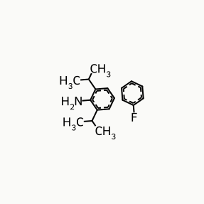 CC(C)c1cccc(C(C)C)c1N.Fc1ccccc1